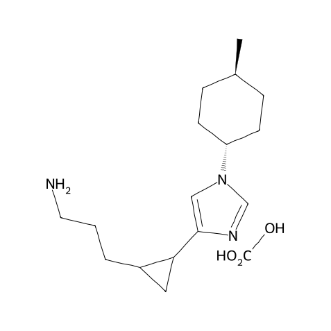 C[C@H]1CC[C@H](n2cnc(C3CC3CCCN)c2)CC1.O=C(O)O